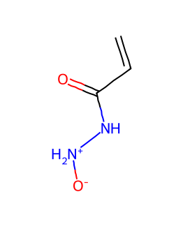 C=CC(=O)N[NH2+][O-]